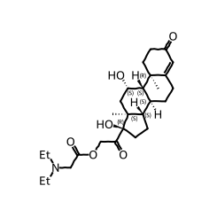 CCN(CC)CC(=O)OCC(=O)[C@@]1(O)CC[C@H]2[C@@H]3CCC4=CC(=O)CC[C@]4(C)[C@H]3[C@@H](O)C[C@@]21C